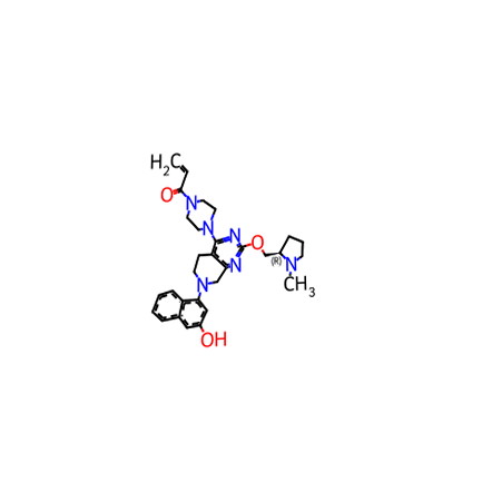 C=CC(=O)N1CCN(c2nc(OC[C@H]3CCCN3C)nc3c2CCN(c2cc(O)cc4ccccc24)C3)CC1